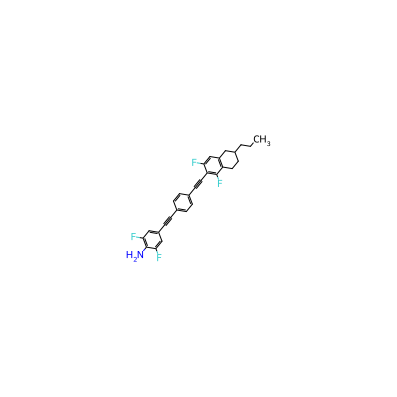 CCCC1CCc2c(cc(F)c(C#Cc3ccc(C#Cc4cc(F)c(N)c(F)c4)cc3)c2F)C1